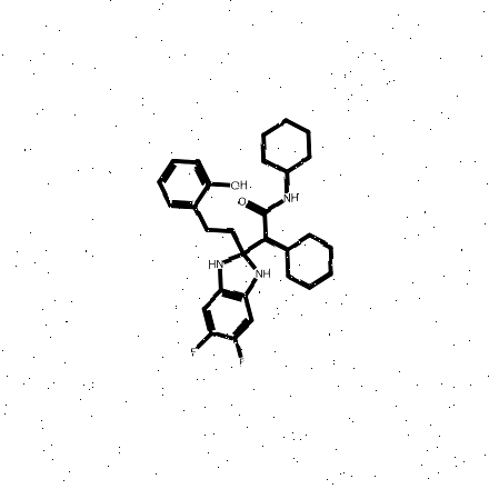 O=C(NC1CCCCC1)C(C1CCCCC1)C1(CCc2ccccc2O)Nc2cc(F)c(F)cc2N1